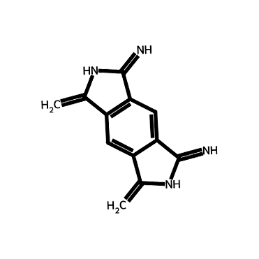 C=C1NC(=N)c2cc3c(cc21)C(=C)NC3=N